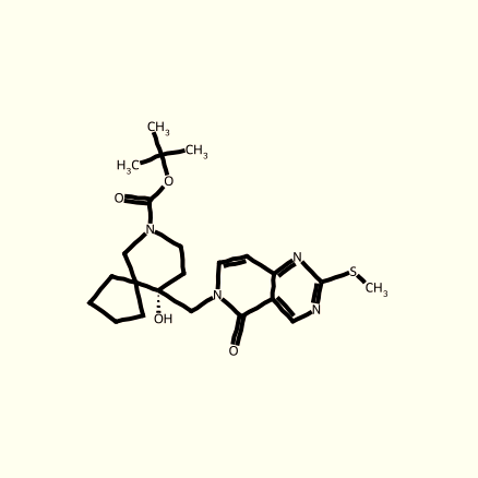 CSc1ncc2c(=O)n(C[C@]3(O)CCN(C(=O)OC(C)(C)C)CC34CCCC4)ccc2n1